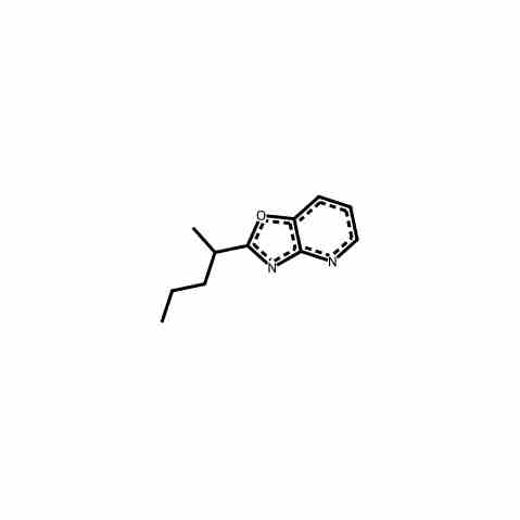 CCCC(C)c1nc2ncccc2o1